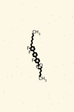 C/C=C/CCC1COC(c2ccc(-c3ccc(-c4ccc(CCCCCCCC)c(F)c4F)cc3)c(F)c2)OC1